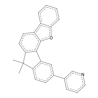 CC1(C)c2ccc(-c3cccnc3)cc2-c2c1ccc1c2oc2ccccc21